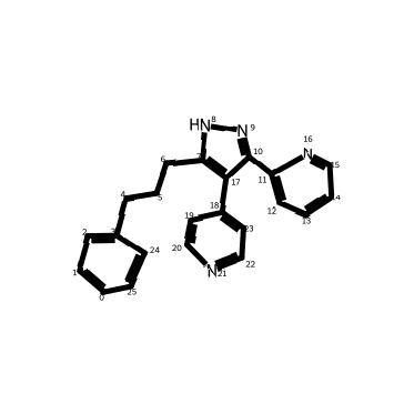 c1ccc(CCCc2[nH]nc(-c3ccccn3)c2-c2ccncc2)cc1